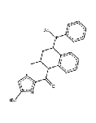 CC(=O)N(c1ccccc1)C1CC(C)N(C(=O)c2nc(C(C)(C)C)cs2)c2ccccc21